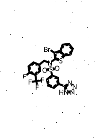 O=S(=O)(c1cccc(-c2nnn[nH]2)c1)N(Cc1ccc(F)c(C(F)(F)F)c1)c1sc2ccccc2c1Br